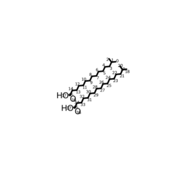 CC(C)CCCCCCCCCCCCC(=O)O.CC(C)CCCCCCCCCCCCCCC(=O)O